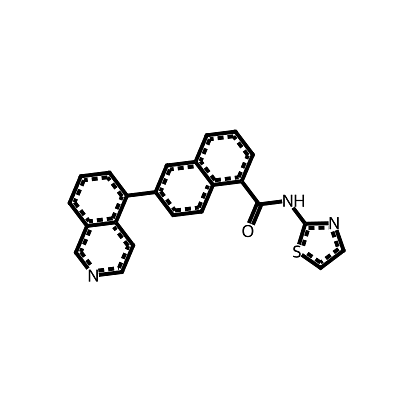 O=C(Nc1nccs1)c1cccc2cc(-c3cccc4cnccc34)ccc12